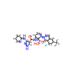 CC(C)(C)c1cc(F)c2c(=O)n(-c3nccc(NC(=O)c4c[nH]nc4Nc4ccccn4)c3CO)ncc2c1